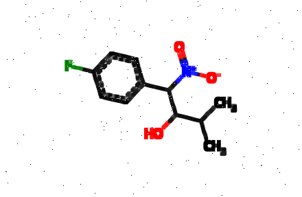 CC(C)C(O)C(c1ccc(F)cc1)[N+](=O)[O-]